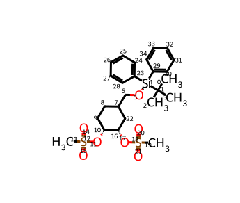 CC(C)(C)[Si](OCC1CC[C@@H](OS(C)(=O)=O)[C@@H](OS(C)(=O)=O)C1)(c1ccccc1)c1ccccc1